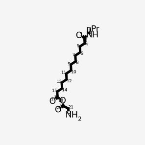 CCCNC(=O)CCCCCCCCCCCCC(=O)OC(=O)CN